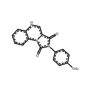 CC(=O)Oc1ccc(-n2c(=O)c3c[nH]c4ccccc4n-3c2=O)cc1